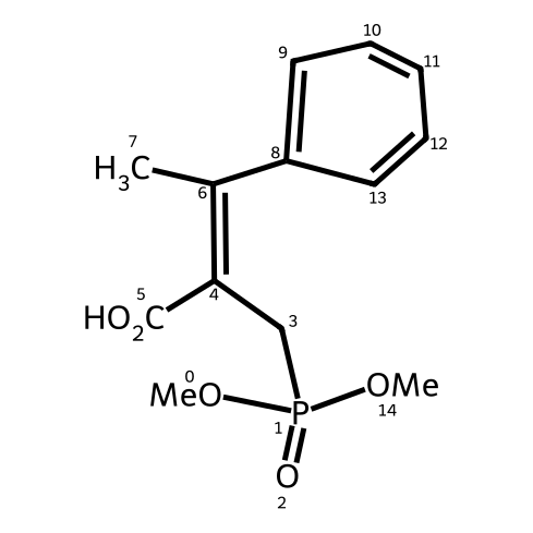 COP(=O)(CC(C(=O)O)=C(C)c1ccccc1)OC